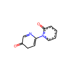 O=C1C=NC(n2ccccc2=O)=CC1